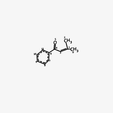 CC(C)=CC(=O)c1ccccc1